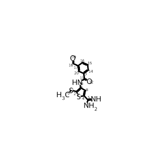 CSc1sc(C(=N)N)cc1NC(=O)c1cccc(C=O)c1